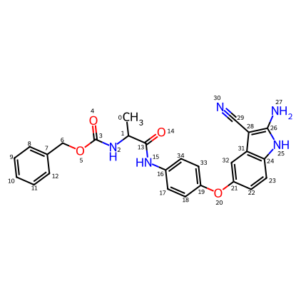 CC(NC(=O)OCc1ccccc1)C(=O)Nc1ccc(Oc2ccc3[nH]c(N)c(C#N)c3c2)cc1